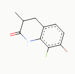 CC1Cc2ccc(Br)c(F)c2NC1=O